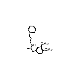 COc1ccc(CC(C)NCCCc2ccccc2)cc1OC